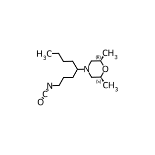 CCCCC(CCCN=C=O)N1C[C@@H](C)O[C@@H](C)C1